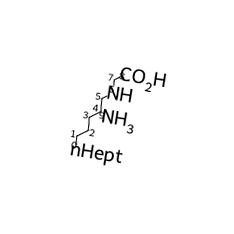 CCCCCCCCCCCCNCC(=O)O.N